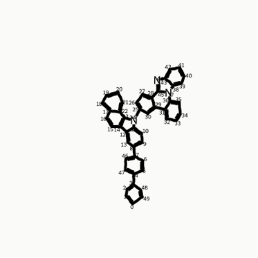 c1ccc(-c2ccc(-c3ccc4c(c3)c3ccc5ccccc5c3n4-c3ccc4c(c3)c3ccccc3n3c5ccccc5nc43)cc2)cc1